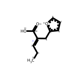 CC/C=C(\Cc1ccco1)C(=O)O